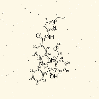 CCn1ccc(NC(=O)c2ccc3nc(C(O)(c4ccccc4)c4ccccc4)n(CCOC)c3c2)n1